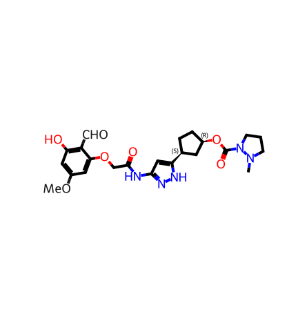 COc1cc(O)c(C=O)c(OCC(=O)Nc2cc([C@H]3CC[C@@H](OC(=O)N4CCCN4C)C3)[nH]n2)c1